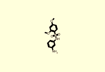 COc1ccc(S(=O)(=O)Nc2cccc(N)c2)c(OC)c1